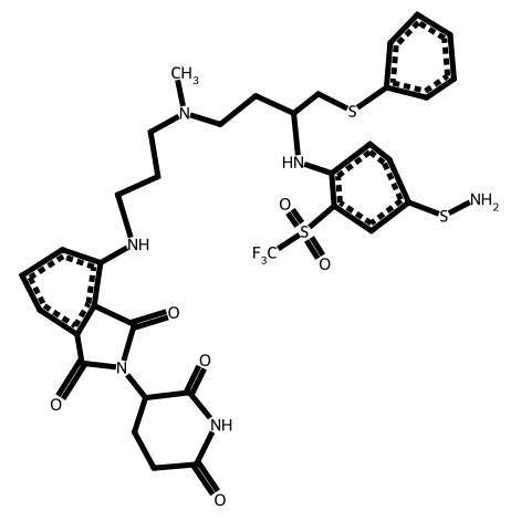 CN(CCCNc1cccc2c1C(=O)N(C1CCC(=O)NC1=O)C2=O)CCC(CSc1ccccc1)Nc1ccc(SN)cc1S(=O)(=O)C(F)(F)F